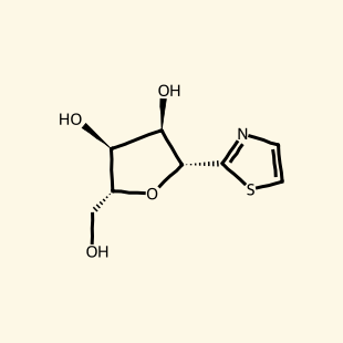 OC[C@H]1O[C@@H](c2nccs2)[C@H](O)[C@@H]1O